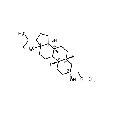 COC[C@@]1(O)CC[C@]2(F)C3CC[C@]4(C)C(C(C)C)CC[C@H]4[C@@H]3CC[C@@H]2C1